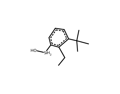 CCc1c([SiH2]O)cccc1C(C)(C)C